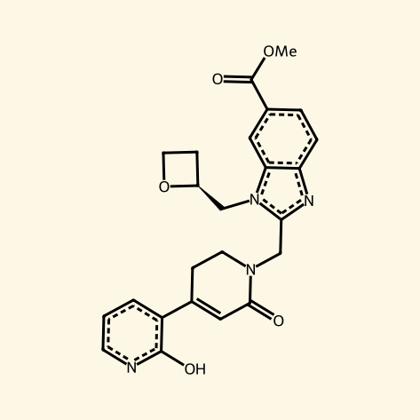 COC(=O)c1ccc2nc(CN3CCC(c4cccnc4O)=CC3=O)n(C[C@@H]3CCO3)c2c1